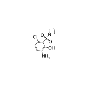 Nc1ccc(Cl)c(S(=O)(=O)N2CCC2)c1O